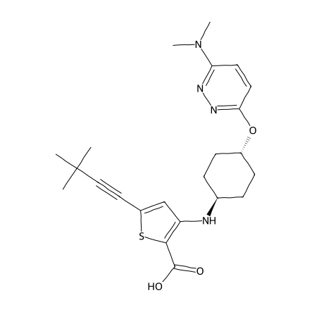 CN(C)c1ccc(O[C@H]2CC[C@H](Nc3cc(C#CC(C)(C)C)sc3C(=O)O)CC2)nn1